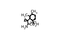 Cc1ccc(F)c(C2(C(N)C(=O)O)CC2)c1C.Cl